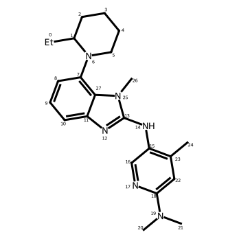 CCC1CCCCN1c1cccc2nc(Nc3cnc(N(C)C)cc3C)n(C)c12